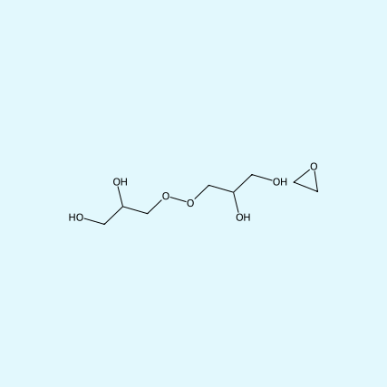 C1CO1.OCC(O)COOCC(O)CO